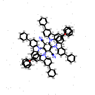 C=C(C#N)/C(=C(\C(C#N)=C(/Cn1c2ccc(-c3ccccc3)cc2c2cc(-c3ccccc3)ccc21)n1c2ccc(-c3ccccc3)cc2c2cc(-c3ccccc3)ccc21)n1c2ccc(-c3ccccc3)cc2c2cc(-c3ccccc3)ccc21)n1c2ccc(-c3ccccc3)cc2c2cc(-c3ccccc3)ccc21